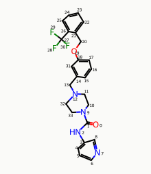 O=C(Nc1cccnc1)N1CCN(Cc2cccc(OCc3ccccc3C(F)(F)F)c2)CC1